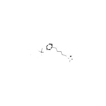 CCOC(=O)C(C)(C)Oc1cccc(CCCCCOS(C)(=O)=O)c1